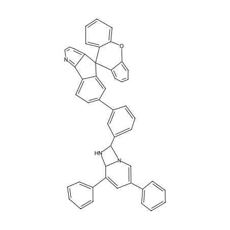 C1=C(c2ccccc2)C=C(c2ccccc2)C2NC(c3cccc(-c4ccc5c(c4)C4(c6ccccc6Oc6ccccc64)c4cccnc4-5)c3)N12